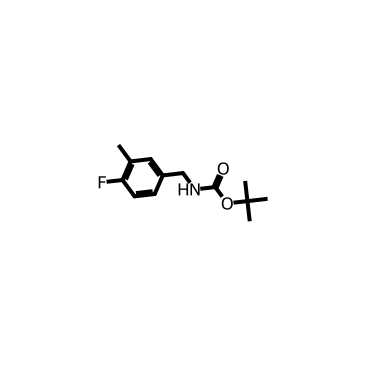 Cc1cc(CNC(=O)OC(C)(C)C)ccc1F